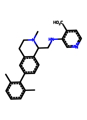 Cc1cccc(C)c1-c1ccc2c(c1)CCN(C)C2CNc1cnccc1C(=O)O